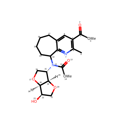 COC(=O)c1cc2c(nc1C)C(N(C(=O)OC)[C@H]1CO[C@H]3[C@@H]1OC[C@H]3O)CCCC2